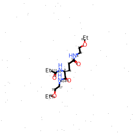 CCOCCNC(=O)CC[C@H](NC(=O)CC)C(=O)NCCOCC